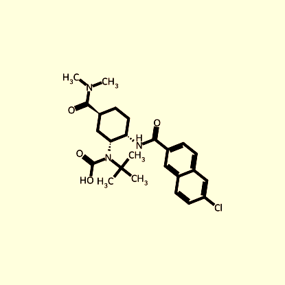 CN(C)C(=O)[C@H]1CC[C@H](NC(=O)c2ccc3cc(Cl)ccc3c2)[C@H](N(C(=O)O)C(C)(C)C)C1